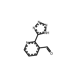 O=Cc1cccnc1-c1nnn[nH]1